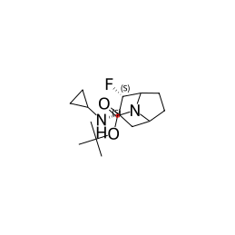 CC(C)(C)OC(=O)N1C2CCC1[C@@H](F)[C@@H](NC1CC1)C2